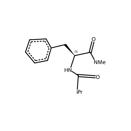 CNC(=O)[C@H](Cc1ccccc1)NC(=O)C(C)C